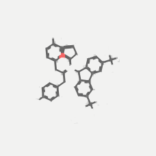 Cc1ccc(C[C](Cc2ccc(C)cc2)=[Zr]([C]2=CC=CC2)[CH]2c3ccc(C(C)(C)C)cc3-c3cc(C(C)(C)C)ccc32)cc1.Cl.Cl